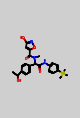 CC(O)c1ccc(C(C(=O)Nc2ccc(S(C)(C)C)cc2)N(C)C(=O)c2cc(O)no2)cc1